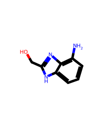 Nc1cccc2[nH]c(CO)nc12